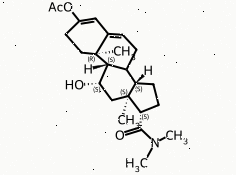 CC(=O)OC1=CC2=CCC3[C@H]([C@@H](O)C[C@]4(C)[C@@H](C(=O)N(C)C)CC[C@@H]34)[C@@]2(C)CC1